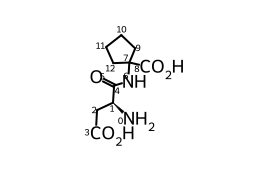 N[C@@H](CC(=O)O)C(=O)NC1(C(=O)O)CCCC1